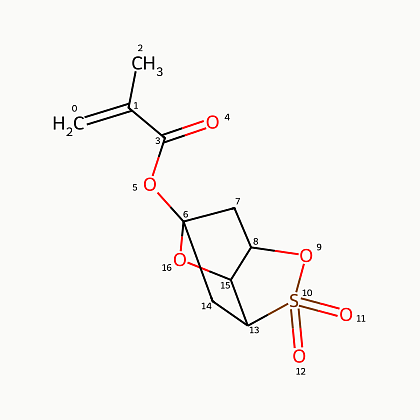 C=C(C)C(=O)OC12CC3OS(=O)(=O)C(C1)C3O2